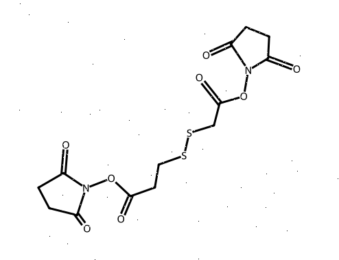 O=C(CCSSCC(=O)ON1C(=O)CCC1=O)ON1C(=O)CCC1=O